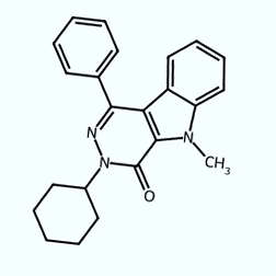 Cn1c2ccccc2c2c(-c3ccccc3)nn(C3CCCCC3)c(=O)c21